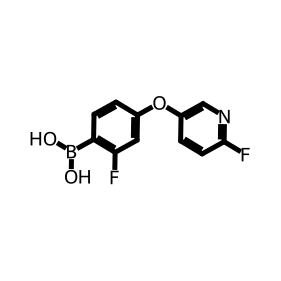 OB(O)c1ccc(Oc2ccc(F)nc2)cc1F